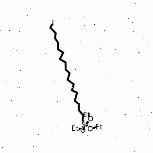 CCO[Si](CCCCCCCCCCCCCCCCCCCI)(OCC)OCC